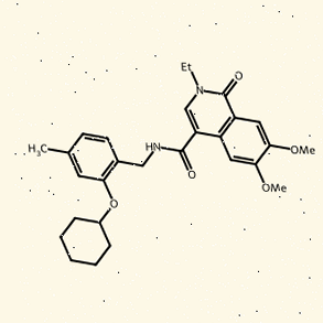 CCn1cc(C(=O)NCc2ccc(C)cc2OC2CCCCC2)c2cc(OC)c(OC)cc2c1=O